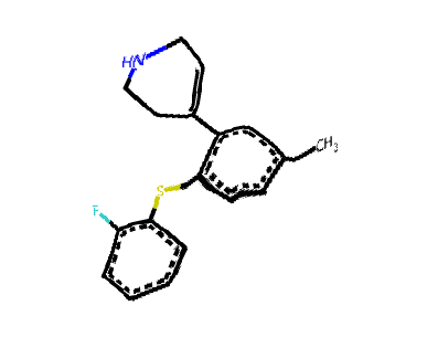 Cc1ccc(Sc2ccccc2F)c(C2=CCNCC2)c1